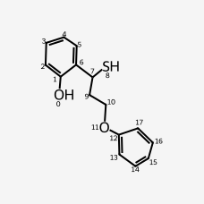 Oc1ccccc1C(S)CCOc1ccccc1